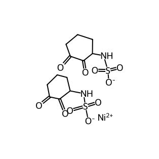 O=C1CCCC(NS(=O)(=O)[O-])C1=O.O=C1CCCC(NS(=O)(=O)[O-])C1=O.[Ni+2]